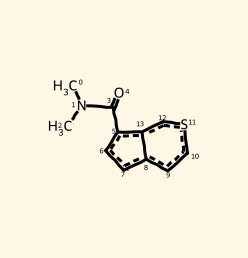 CN(C)C(=O)c1c[c]c2ccscc1-2